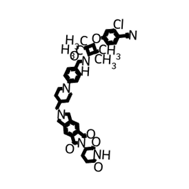 CC1(C)[C@H](NC(=O)c2ccc(N3CCC(CN4Cc5cc6c(cc5C4)C(=O)N([C@H]4CCC(=O)NC4=O)C6=O)CC3)cc2)C(C)(C)[C@H]1Oc1ccc(C#N)c(Cl)c1